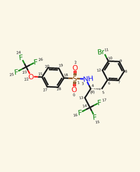 O=S(=O)(N[C@H](Cc1cccc(Br)c1)CC(F)(F)F)c1ccc(OC(F)(F)F)cc1